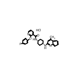 Cc1cc(N[C@H]2CC[C@@H](NC(=O)c3cccnc3Oc3ccc(F)cc3)CC2)nc2ccccc12.Cl